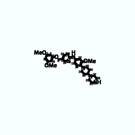 COc1cc(OC)cc(OCc2cnc(Nc3ccc(N4CCC(N5CCNCC5)CC4)c(OC)c3)nc2)c1